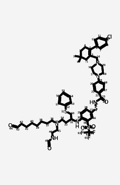 CC1(C)CCC(c2ccc(Cl)cc2)=C(CN2CCN(c3ccc(C(=O)NSc4ccc(NC(CCN(CCCCCCCC=O)CCNC=O)CSc5ccccc5)c(S(=O)(=O)C(F)(F)F)c4)cc3)CC2)C1